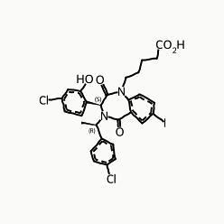 C[C@H](c1ccc(Cl)cc1)N1C(=O)c2cc(I)ccc2N(CCCCC(=O)O)C(=O)[C@@H]1c1ccc(Cl)cc1O